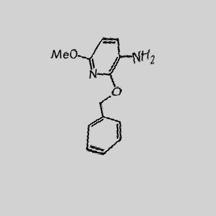 COc1ccc(N)c(OCc2ccccc2)n1